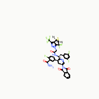 NC(=O)c1cc(-c2cc(N3C(=O)c4ccccc4C3=O)cnc2[C@H](Cc2cc(F)cc(F)c2)NC(=O)Cn2nc(C(F)(F)F)c3c2C(F)(F)[C@@H]2S[C@H]32)ccc1F